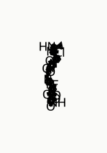 O=C1CCC(N2C(=O)c3cc(F)c(N4CCN(CCCS(=O)(=O)N5CCN(c6cccc(-c7cnc8[nH]cc(C9CC9)c8c7Cl)c6)C(=O)C5)CC4)cc3C2=O)C(=O)N1